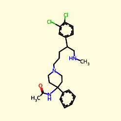 CNCC(CCCN1CCC(NC(C)=O)(c2ccccc2)CC1)c1ccc(Cl)c(Cl)c1